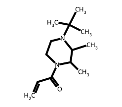 C=CC(=O)N1CCN(C(C)(C)C)C(C)C1C